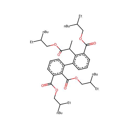 CCCCC(CC)COC(=O)c1cccc(-c2cccc(C(=O)OCC(CC)CCCC)c2C(C)C(=O)OCC(CC)CCCC)c1C(=O)OCC(CC)CCCC